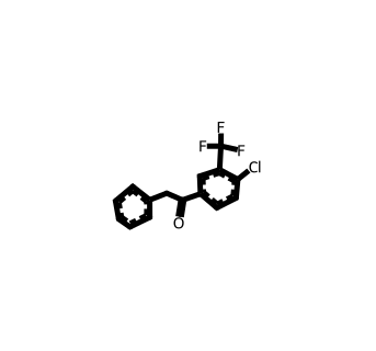 O=C(Cc1ccccc1)c1ccc(Cl)c(C(F)(F)F)c1